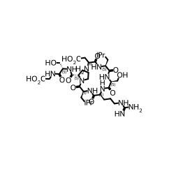 CC(C)C[C@H](NC(=O)[C@@H](N)CC(=O)O)C(=O)N[C@@H](CO)C(=O)N[C@@H](CCCNC(=N)N)C(=O)N[C@@H](CC(C)C)C(=O)N1CCC[C@H]1C(=O)N[C@@H](CO)C(=O)NCC(=O)O